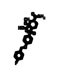 COC1(C(=O)O)CN(C(N)=O)CCC1S(=O)(=O)c1ccc(OCc2ccc(F)cc2)cc1